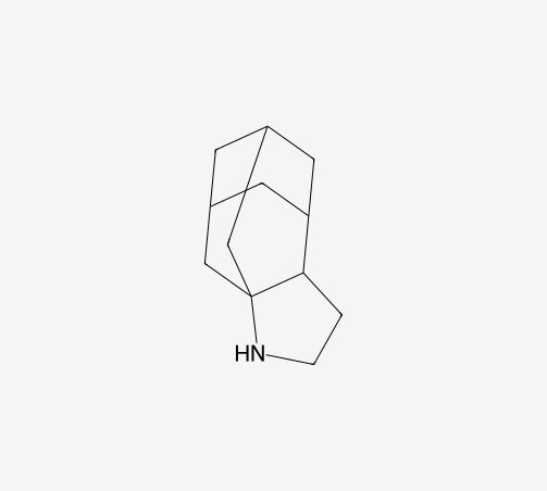 C1CC2C3CC4CC(C3)CC2(C4)N1